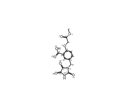 COC(=O)COc1ccc(CN2C(=O)NC(=O)C2=O)cc1C(=O)O